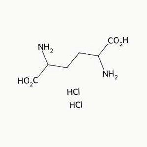 Cl.Cl.NC(CCC(N)C(=O)O)C(=O)O